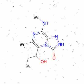 CC(C)CC(O)c1c(C(C)C)nc(NC(C)C)c2n[nH]c(=O)n12